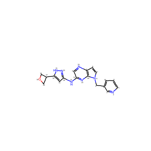 c1cncc(Cn2ccc3ncc(Nc4cc(C5COC5)[nH]n4)nc32)c1